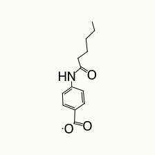 CCCCCC(=O)Nc1ccc(C([O])=O)cc1